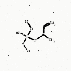 C=CC(C)O[Si](CCCC)(OCC)OCC